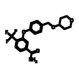 NC(=O)c1ccc(C(F)(F)F)c(Oc2ccc(COC3CCOCC3)cc2)c1